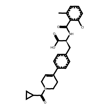 Cc1cccc(Cl)c1C(=O)N[C@@H](Cc1ccc(C2=CCN(C(=O)C3CC3)CC2)cc1)C(=O)O